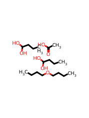 CC(=O)O.CCCC(O)O.CCCC(O)O.CCCCOCCCC